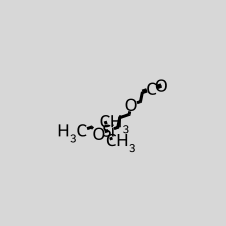 CCO[Si](C)(C)CCCOCC=C=O